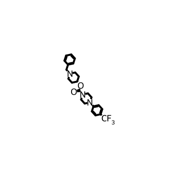 O=C(OC1CCN(Cc2ccccc2)CC1)N1CCN(c2ccc(C(F)(F)F)cc2)CC1